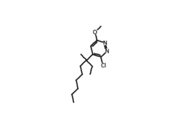 CCCCCCC(C)(CC)c1cc(OC)nnc1Cl